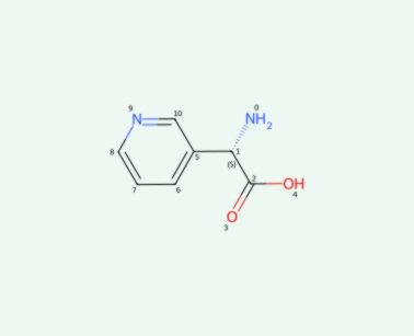 N[C@H](C(=O)O)c1cccnc1